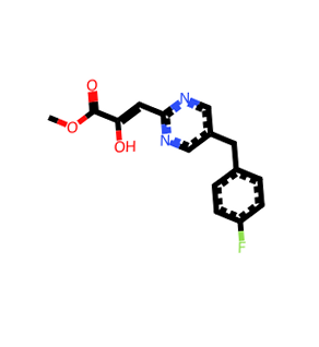 COC(=O)/C(O)=C/c1ncc(Cc2ccc(F)cc2)cn1